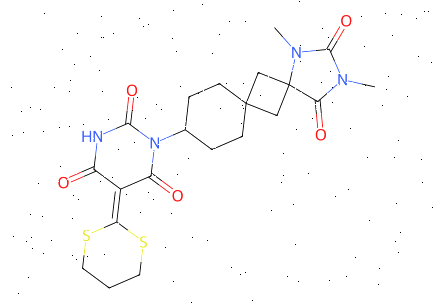 CN1C(=O)N(C)C2(CC3(CCC(N4C(=O)NC(=O)C(=C5SCCCS5)C4=O)CC3)C2)C1=O